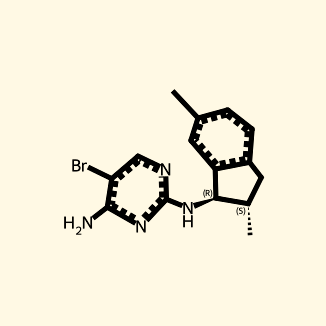 Cc1ccc2c(c1)[C@H](Nc1ncc(Br)c(N)n1)[C@@H](C)C2